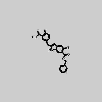 Cc1ccc(Cc2cc3cc(Cl)c(C(=O)OCc4ccccc4)cc3[nH]2)cc1C(=O)O